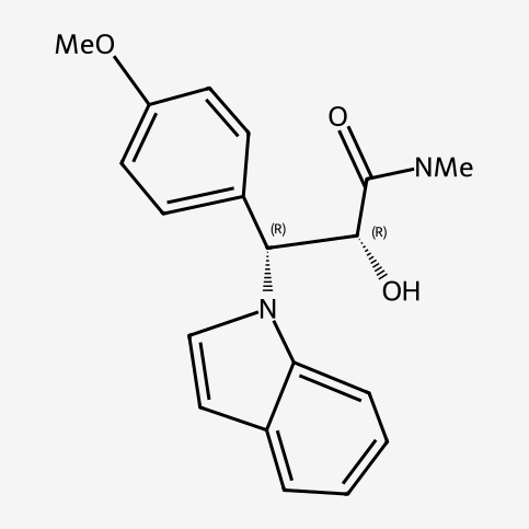 CNC(=O)[C@H](O)[C@@H](c1ccc(OC)cc1)n1ccc2ccccc21